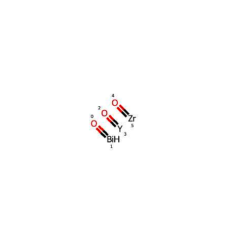 [O]=[BiH].[O]=[Y].[O]=[Zr]